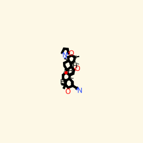 C[C@@H]1[C@H]2[C@H]3C(=O)C=C4[C@@]5(C)C=C(C#N)C(=O)C(C)(C)[C@@H]5CC[C@@]4(C)[C@]3(C)CC[C@@]2(CN2CCCC2=O)CC[C@H]1C